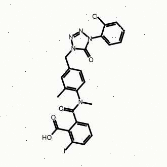 Cc1cc(Cn2nnn(-c3ccccc3Cl)c2=O)ccc1N(C)C(=O)c1cccc(I)c1C(=O)O